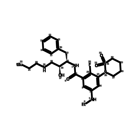 CCNc1cc(C(=O)N[C@@H](Cc2ccccc2)[C@H](O)CNCCC(C)(C)C)c(F)c(N2CCCCS2(=O)=O)c1